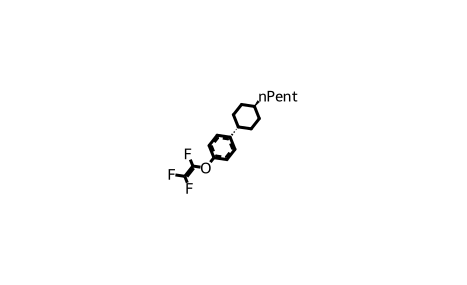 CCCCC[C@H]1CC[C@H](c2ccc(OC(F)=C(F)F)cc2)CC1